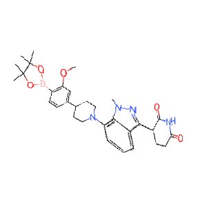 COc1cc(C2CCN(c3cccc4c(C5CCC(=O)NC5=O)nn(C)c34)CC2)ccc1B1OC(C)(C)C(C)(C)O1